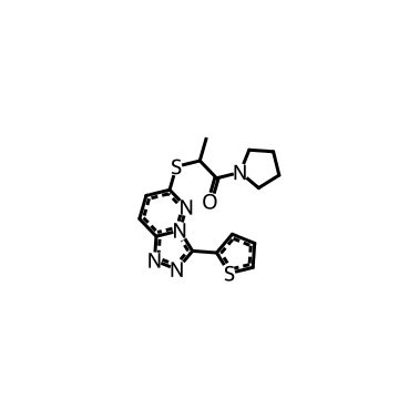 CC(Sc1ccc2nnc(-c3cccs3)n2n1)C(=O)N1CCCC1